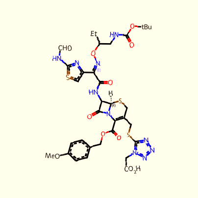 CCC(CNC(=O)OC(C)(C)C)O/N=C(/C(=O)NC1C(=O)N2C(C(=O)OCc3ccc(OC)cc3)=C(CSc3nnnn3CC(=O)O)CS[C@H]12)c1csc(NC=O)n1